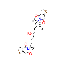 CC(C)(CCCCC(O)CCCCC1(N2C(=O)C=C3SCCC3C2=O)CC1)N1C(=O)C=C2SCCC2C1=O